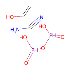 C=CO.N#CN.O=[PH](O)O[PH](=O)O